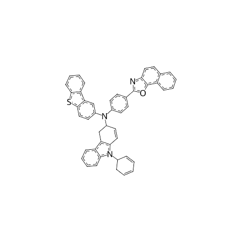 C1=CCC(n2c3c(c4ccccc42)CC(N(c2ccc(-c4nc5ccc6ccccc6c5o4)cc2)c2ccc4sc5ccccc5c4c2)C=C3)C=C1